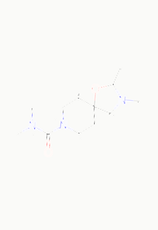 CC1OC2(CCN(C(=O)N(C)C)CC2)CN1C